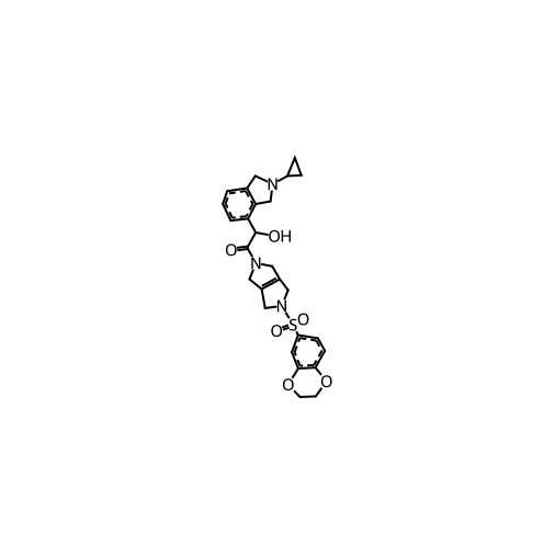 O=C(C(O)c1cccc2c1CN(C1CC1)C2)N1CC2=C(C1)CN(S(=O)(=O)c1ccc3c(c1)OCCO3)C2